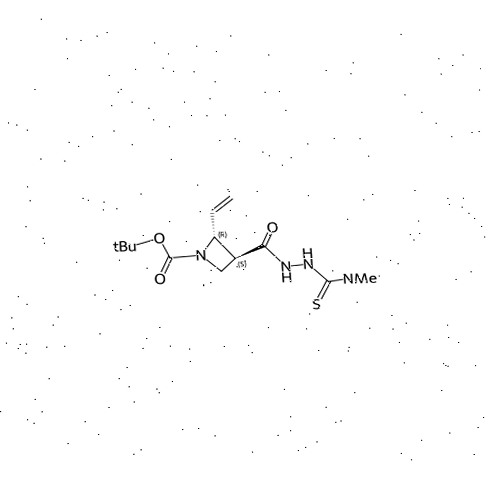 C=C[C@@H]1[C@@H](C(=O)NNC(=S)NC)CN1C(=O)OC(C)(C)C